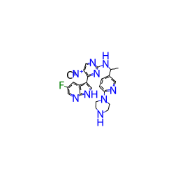 [C-]#[N+]c1cnc(NC(C)c2ccc(N3CCNCC3)nc2)nc1-c1c[nH]c2ncc(F)cc12